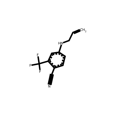 C=CCNc1ccc(C#N)c(C(F)(F)F)c1